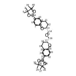 CC1(C)OB(c2ccc3c(c2)CC[C@H](COC[C@H]2CCc4cc(B5OC(C)(C)C(C)(C)O5)ccc4O2)O3)OC1(C)C